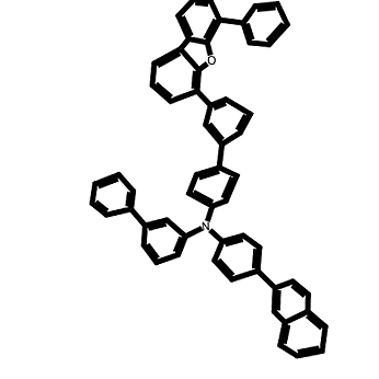 c1ccc(-c2cccc(N(c3ccc(-c4cccc(-c5cccc6c5oc5c(-c7ccccc7)cccc56)c4)cc3)c3ccc(-c4ccc5ccccc5c4)cc3)c2)cc1